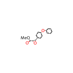 COC(=O)C1OC1c1ccc(Oc2ccccc2)cc1